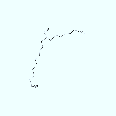 C=CC(CCCCCCCCCC(=O)O)CCCCCCC(=O)O